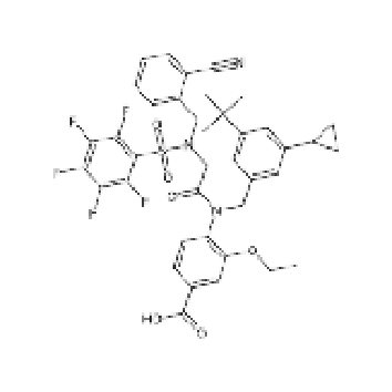 CCOc1cc(C(=O)O)ccc1N(Cc1cc(C2CC2)cc(C(C)(C)C)c1)C(=O)CN(Cc1ccccc1C#N)S(=O)(=O)c1c(F)c(F)c(F)c(F)c1F